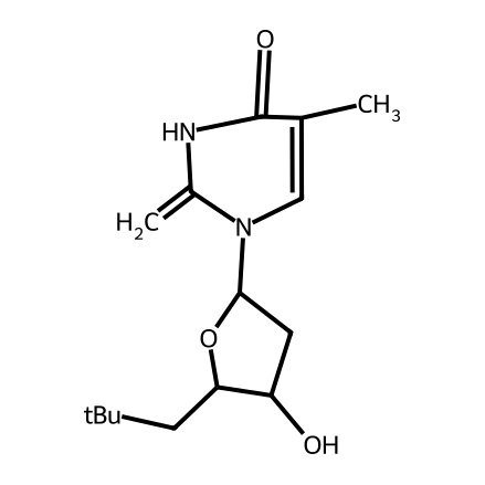 C=C1NC(=O)C(C)=CN1C1CC(O)C(CC(C)(C)C)O1